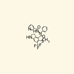 CSc1c(C(F)(F)F)cc2c(c1C(=O)N(NC(=O)c1cccnc1)c1ccccc1)CCN2